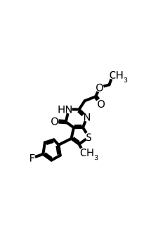 CCOC(=O)Cc1nc2sc(C)c(-c3ccc(F)cc3)c2c(=O)[nH]1